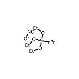 CCC[Si](OCC)(OCC)OCC.O=[NH+][O-]